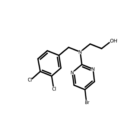 OCCN(Cc1ccc(Cl)c(Cl)c1)c1ncc(Br)cn1